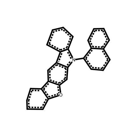 c1ccc2c(-n3c4ccccc4c4cc5c(cc43)oc3ccccc35)cccc2c1